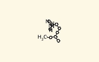 C=CCc1ccc(-c2cc(-c3ccccc3)cc(-c3ccc(-c4cccc(-c5cccc(-c6nc(-c7cccnc7)nc(-c7cccnc7)n6)c5)c4)cc3)c2)cc1